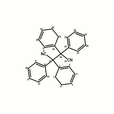 N#CC(C1=CC=CCC1)(c1ccccc1)C(C#N)(C1=CC=CCC1)c1ccccc1